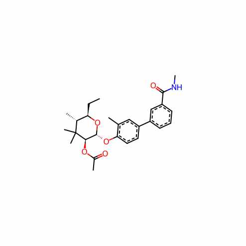 CC[C@H]1O[C@H](Oc2ccc(-c3cccc(C(=O)NC)c3)cc2C)[C@@H](OC(C)=O)C(C)(C)[C@@H]1C